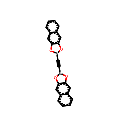 C(#CB1Oc2cc3ccccc3cc2O1)B1Oc2cc3ccccc3cc2O1